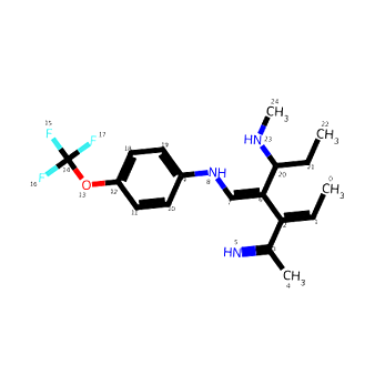 C/C=C(C(C)=N)\C(=C\Nc1ccc(OC(F)(F)F)cc1)C(CC)NC